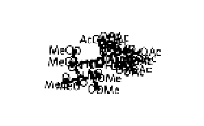 COC(=O)CCC(C(=O)OC)N1CCN(Cc2cccc(C(=O)NCC(CNC(=O)C(OC(C)=O)C(OC(C)=O)C(OC(C)=O)C(COC(C)=O)OC(C)=O)(CNC(=O)C(OC(C)=O)C(OC(C)=O)C(OC(C)=O)C(COC(C)=O)OC(C)=O)CNC(=O)C(OC(C)=O)C(OC(C)=O)C(OC(C)=O)C(COC(C)=O)OC(C)=O)c2)CCN([C@H](CCC(=O)OC)C(=O)OC)CCN(C(CCC(=O)OC)C(=O)OC)CC1